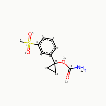 CS(=O)(=O)c1cccc(C2(OC(N)=O)CC2)c1